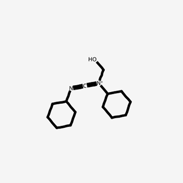 OC[N+](=C=NC1CCCCC1)C1CCCCC1